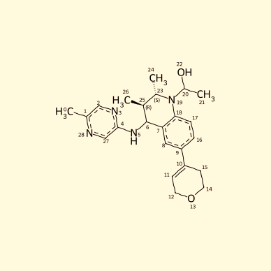 Cc1cnc(NC2c3cc(C4=CCOCC4)ccc3N(C(C)O)[C@@H](C)[C@@H]2C)cn1